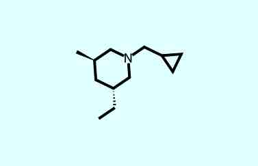 CC[C@@H]1C[C@@H](C)CN(CC2CC2)C1